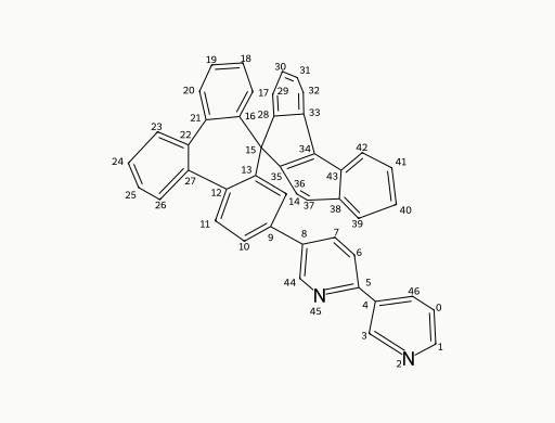 c1cncc(-c2ccc(-c3ccc4c(c3)C3(c5ccccc5-c5ccccc5-4)c4ccccc4-c4c3ccc3ccccc43)cn2)c1